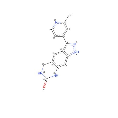 Cc1cc(-c2n[nH]c3cc4c(cc23)CNC(=O)N4)ccn1